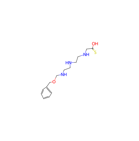 OC(=S)CNCCNCCNCOCc1ccccc1